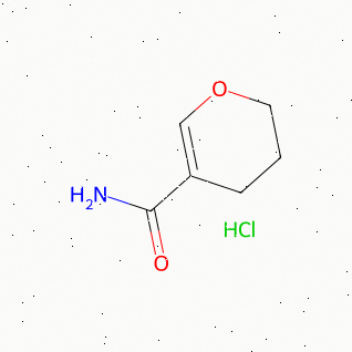 Cl.NC(=O)C1=COCCC1